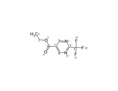 CCOC(=O)c1cnc(C(F)(F)F)nc1